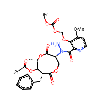 COc1ccnc(C(=O)N(N)[C@H]2COC(=O)[C@H](Cc3ccccc3)[C@@H](OC(=O)C(C)C)[C@H](C)OC2=O)c1OCOC(=O)OC(C)C